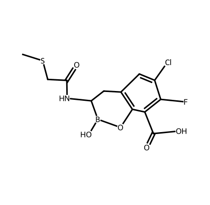 CSCC(=O)NC1Cc2cc(Cl)c(F)c(C(=O)O)c2OB1O